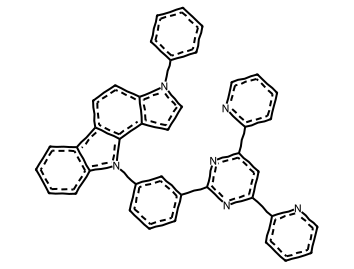 c1ccc(-n2ccc3c2ccc2c4ccccc4n(-c4cccc(-c5nc(-c6ccccn6)cc(-c6ccccn6)n5)c4)c23)cc1